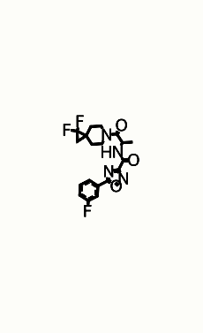 CC(NC(=O)c1noc(-c2cccc(F)c2)n1)C(=O)N1CCC2(CC1)CC2(F)F